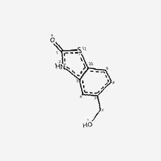 O=c1[nH]c2cc(CO)ccc2s1